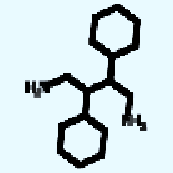 NCC(C1CCCCC1)C(CN)C1CCCCC1